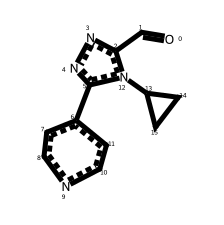 O=Cc1nnc(-c2ccncc2)n1C1CC1